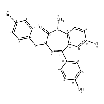 CN1C(=O)C(Cc2ccc(Br)cc2)N=C(c2ccc(O)cc2)c2cc(Cl)ccc21